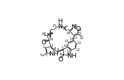 Cc1cc2c([nH]1)/C=C1\C(=O)Nc3ccc(cc31)-c1c(noc1C)CNCCN(C)C2=O